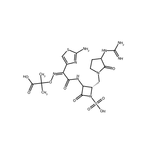 CC(C)(O/N=C(\C(=O)NC1C(=O)N(S(=O)(=O)O)[C@H]1CN1CCC(NC(=N)N)C1=O)c1csc(N)n1)C(=O)O